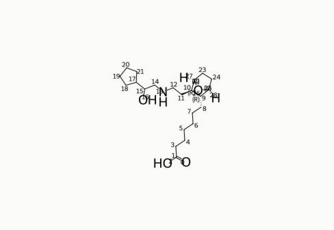 O=C(O)CCCCCC[C@@H]1[C@@H](CCNCC(O)C2CCCC2)[C@H]2CC[C@@H]1O2